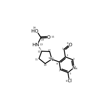 O=Cc1cnc(Cl)cc1N1CC[C@H](NC(=O)O)C1